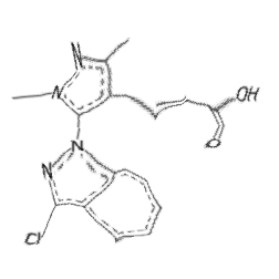 Cc1nn(C)c(-n2nc(Cl)c3ccccc32)c1C=CC(=O)O